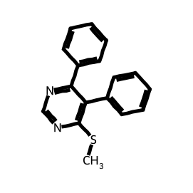 CSc1ncnc(-c2ccccc2)c1-c1ccccc1